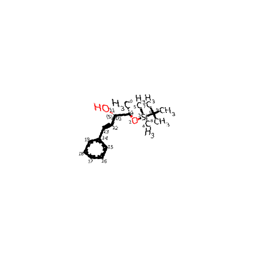 C[C@H](O[Si](C)(C)C(C)(C)C)[C@@H](O)C=Cc1ccccc1